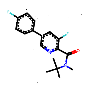 CN(C(=O)c1ncc(-c2ccc(F)cc2)cc1F)C(C)(C)C